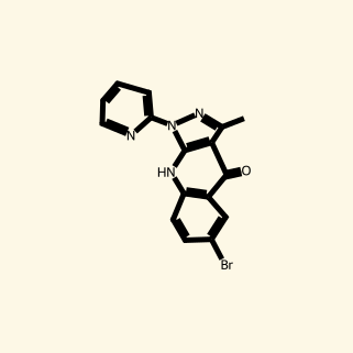 Cc1nn(-c2ccccn2)c2[nH]c3ccc(Br)cc3c(=O)c12